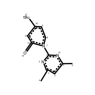 Cc1cc(C)nc(-n2ccc(C(C)(C)C)cc2=O)n1